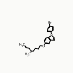 C=CCN(C)CCCCOc1ccc2c(ccn2-c2ccc(Br)cc2)c1